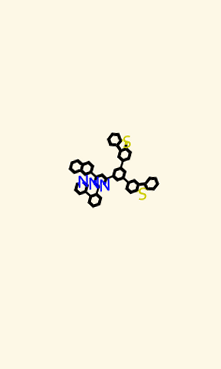 c1cncc(-c2ccccc2-c2nc(-c3cc(-c4ccc5sc6ccccc6c5c4)cc(-c4ccc5sc6ccccc6c5c4)c3)cc(-c3ccc4ccccc4c3)n2)c1